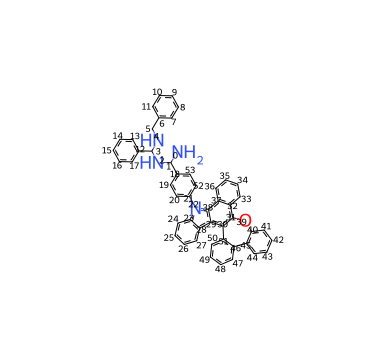 NC(NC(NCc1ccccc1)c1ccccc1)c1ccc(-n2c3ccccc3c3c4c(c5ccccc5c32)Oc2ccccc2-c2ccccc2-4)cc1